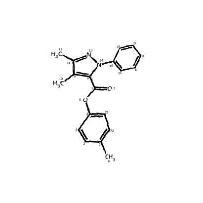 Cc1ccc(OC(=O)c2c(C)c(C)nn2-c2ccccc2)cc1